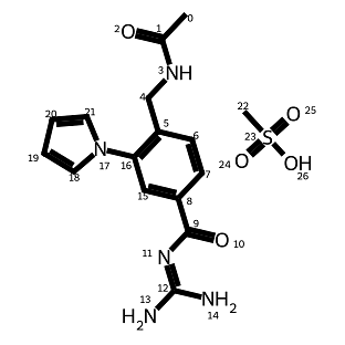 CC(=O)NCc1ccc(C(=O)N=C(N)N)cc1-n1cccc1.CS(=O)(=O)O